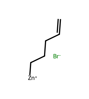 C=CCC[CH2][Zn+].[Br-]